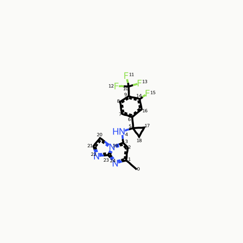 Cc1cc(NC2(c3ccc(C(F)(F)F)c(F)c3)CC2)n2ccnc2n1